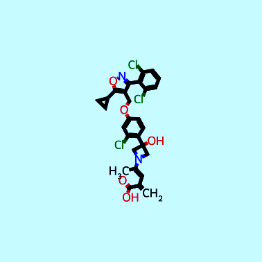 C=C(/C=C(\C)N1CC(O)(c2ccc(OCc3c(-c4c(Cl)cccc4Cl)noc3C3CC3)cc2Cl)C1)C(=O)O